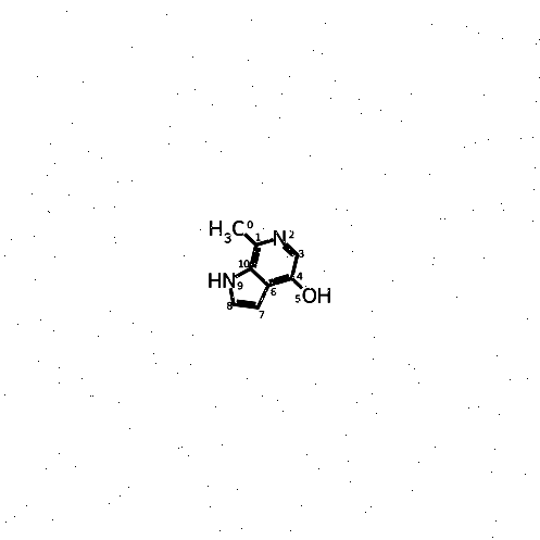 Cc1ncc(O)c2cc[nH]c12